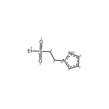 CCS(=O)(=O)CCn1cccn1